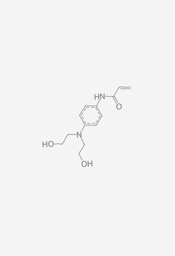 C=CC(=O)Nc1ccc(N(CCO)CCO)cc1